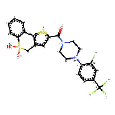 O=C(c1cc2c(s1)-c1ccccc1S(O)(O)C2)N1CCN(c2ccc(C(F)(F)F)cc2F)CC1